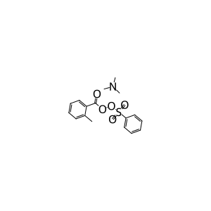 CN(C)C.Cc1ccccc1C(=O)OOS(=O)(=O)c1ccccc1